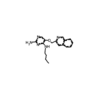 CCCCNc1nc(N)ncc1OCc1cc2ccccc2cn1